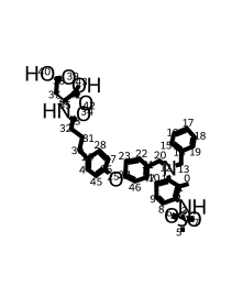 Cc1c(NS(C)(=O)=O)cccc1N(Cc1ccccc1)Cc1ccc(Oc2ccc(CCCC(=O)N[C@@H](CC(=O)O)C(=O)O)cc2)cc1